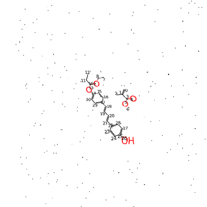 C=C(C)C(=O)OC.CCOC(CC)Oc1ccc(C=CC=Cc2ccc(O)cc2)cc1